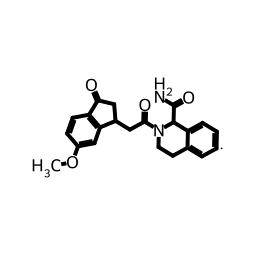 COc1ccc2c(c1)C(CC(=O)N1CCc3c[c]ccc3C1C(N)=O)CC2=O